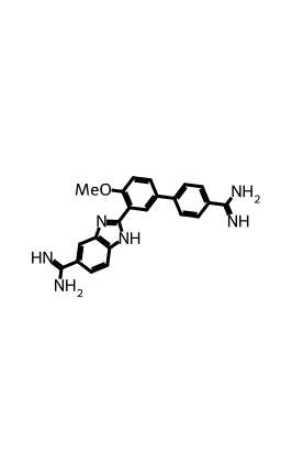 COc1ccc(-c2ccc(C(=N)N)cc2)cc1-c1nc2cc(C(=N)N)ccc2[nH]1